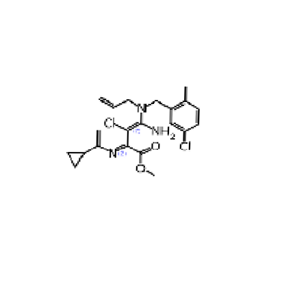 C=CCN(Cc1cc(Cl)ccc1C)/C(N)=C(Cl)/C(=N\C(=C)C1CC1)C(=O)OC